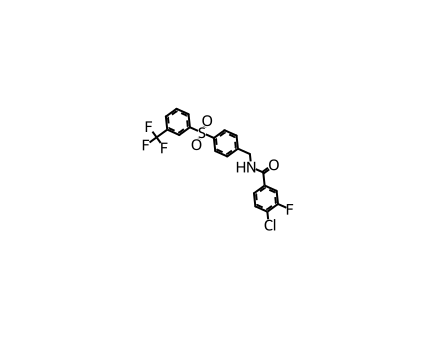 O=C(NCc1ccc(S(=O)(=O)c2cccc(C(F)(F)F)c2)cc1)c1ccc(Cl)c(F)c1